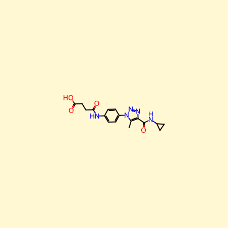 Cc1c(C(=O)NC2CC2)nnn1-c1ccc(NC(=O)CCC(=O)O)cc1